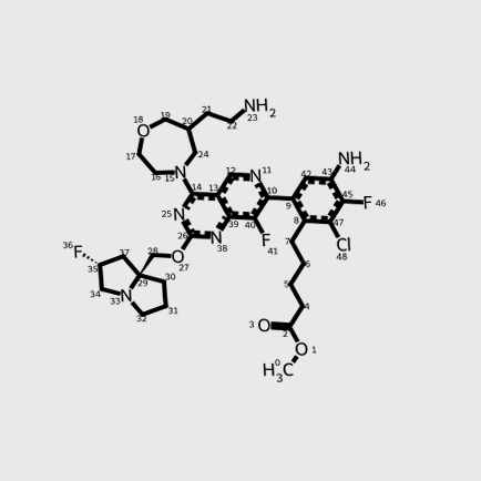 COC(=O)CCCCc1c(-c2ncc3c(N4CCOCC(CCN)C4)nc(OC[C@@]45CCCN4C[C@H](F)C5)nc3c2F)cc(N)c(F)c1Cl